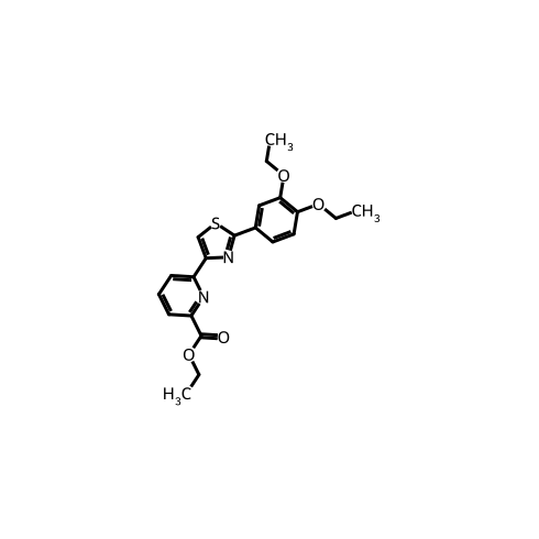 CCOC(=O)c1cccc(-c2csc(-c3ccc(OCC)c(OCC)c3)n2)n1